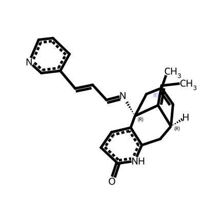 C/C=C1\[C@H]2C=C(C)C[C@]1(N=CC=Cc1cccnc1)c1ccc(=O)[nH]c1C2